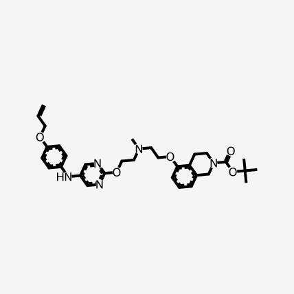 C=CCOc1ccc(Nc2cnc(OCCN(C)CCOc3cccc4c3CCN(C(=O)OC(C)(C)C)C4)nc2)cc1